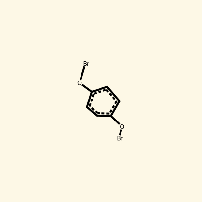 BrOc1ccc(OBr)cc1